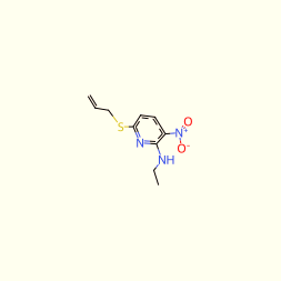 C=CCSc1ccc([N+](=O)[O-])c(NCC)n1